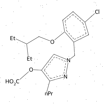 CCCc1nn(Cc2cc(Cl)ccc2OCC(CC)CC)cc1OC(=O)O